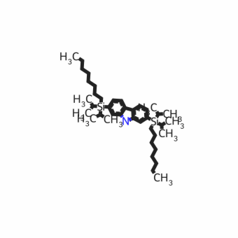 CCCCCCCC[Si](c1ccc2c(c1)[N]c1cc([Si](CCCCCCCC)(C(C)C)C(C)C)ccc1-2)(C(C)C)C(C)C